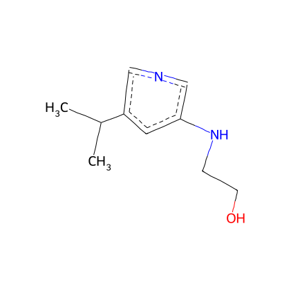 CC(C)c1cncc(NCCO)c1